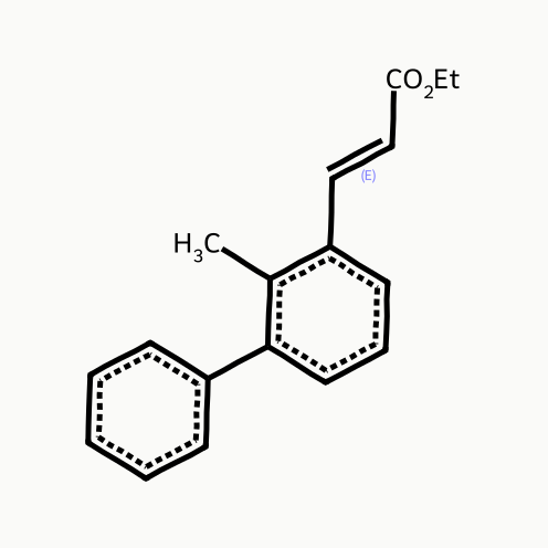 CCOC(=O)/C=C/c1cccc(-c2ccccc2)c1C